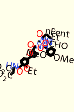 CCCCCC(C(=O)NCNC(=O)c1ccc(-c2ccc(C(=O)NC(CC(=O)O)C(=O)O)c(OCC)c2)o1)C(CC)N(C=O)OC(=O)c1ccc(OC)cc1OC